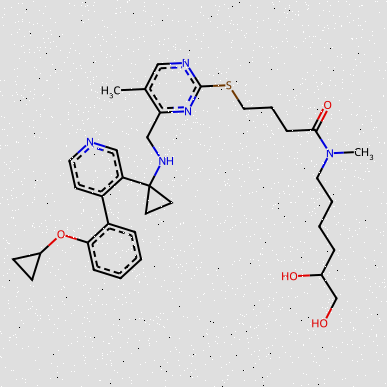 Cc1cnc(SCCCC(=O)N(C)CCCCC(O)CO)nc1CNC1(c2cnccc2-c2ccccc2OC2CC2)CC1